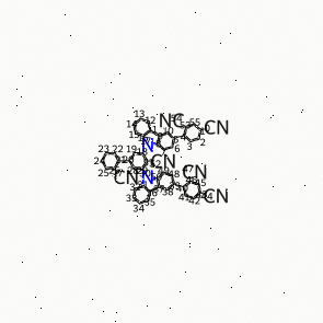 N#Cc1ccc(-c2ccc3c(c2)c2ccccc2n3-c2cc(-c3ccccc3C#N)cc(-n3c4ccccc4c4cc(-c5ccc(C#N)cc5C#N)ccc43)c2C#N)c(C#N)c1